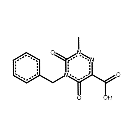 Cn1nc(C(=O)O)c(=O)n(Cc2ccccc2)c1=O